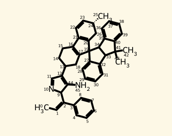 C/C=C(/c1ccccc1)C1N=CC(C2CCC3=C(C2)C2(C4=C3C=C[C@H](C)C4)c3ccccc3C3C2c2ccccc2C3(C)C)=C1N